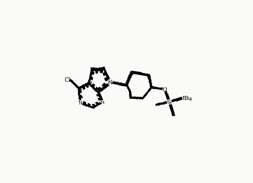 CC(C)(C)[Si](C)(C)OC1CCC(n2ccc3c(Cl)ncnc32)CC1